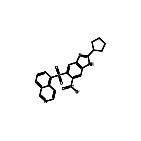 O=[N+]([O-])c1cc2[nH]c(C3CCCC3)nc2cc1S(=O)(=O)c1cccc2cnccc12